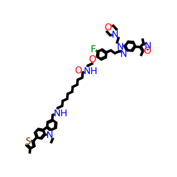 CCn1c2ccc(CNCCCCCCCCCCC(=O)NCCOc3ccc(CCc4nc5cc(-c6c(C)noc6C)ccc5n4CCN4CCOCC4)cc3F)cc2c2ccc(-c3cc(C)cs3)cc21